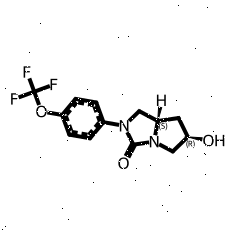 O=C1N(c2ccc(OC(F)(F)F)cc2)C[C@@H]2C[C@@H](O)CN12